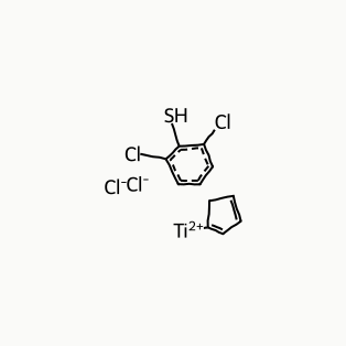 Sc1c(Cl)cccc1Cl.[Cl-].[Cl-].[Ti+2][C]1=CC=CC1